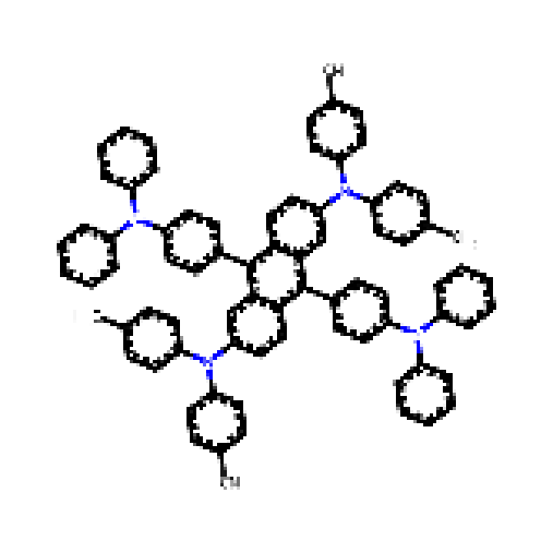 Cc1ccc(N(c2ccc(C#N)cc2)c2ccc3c(-c4ccc(N(c5ccccc5)c5ccccc5)cc4)c4cc(N(c5ccc(C)cc5)c5ccc(C#N)cc5)ccc4c(-c4ccc(N(c5ccccc5)c5ccccc5)cc4)c3c2)cc1